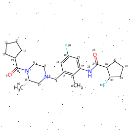 Cc1c(CN2CCN(C(=O)C3CCCC3)[C@@H](C)C2)cc(F)cc1NC(=O)C1CCCC1F